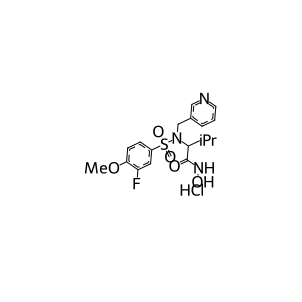 COc1ccc(S(=O)(=O)N(Cc2cccnc2)C(C(=O)NO)C(C)C)cc1F.Cl